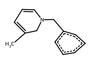 CC1=CC=CN(Cc2ccccc2)C1